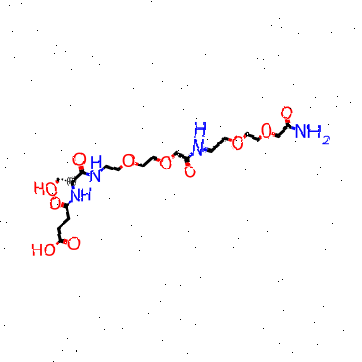 NC(=O)COCCOCCNC(=O)COCCOCCNC(=O)[C@@H](CO)NC(=O)CCC(=O)O